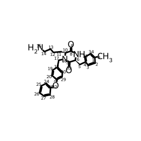 Cc1ccc(C[C@@H]2NC(=O)[C@H](CCCCN)N(Cc3ccc(Oc4ccccc4)cc3)C2=O)cc1